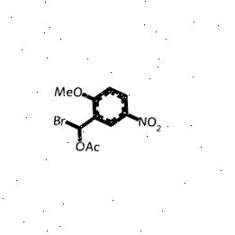 COc1ccc([N+](=O)[O-])cc1C(Br)OC(C)=O